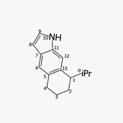 CC(C)C1CCCc2cc3cc[nH]c3cc21